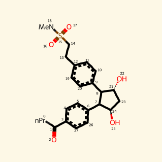 CCCC(=O)c1ccc(C2C(c3ccc(CCS(=O)(=O)NC)cc3)[C@H](O)C[C@H]2O)cc1